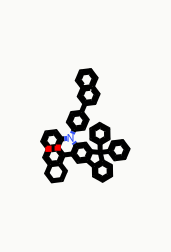 c1ccc(N(c2ccc(-c3ccc4ccccc4c3)cc2)c2cc3c(cc2-c2cccc4c2CCCC4)-c2ccccc2C3(c2ccccc2)c2ccccc2)cc1